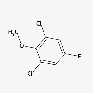 COc1c(Cl)cc(F)cc1Cl